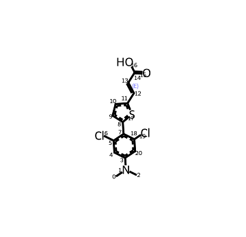 CN(C)c1cc(Cl)c(-c2ccc(/C=C/C(=O)O)s2)c(Cl)c1